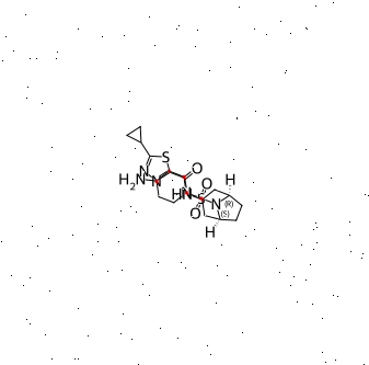 NC1CCN(S(=O)(=O)N2[C@@H]3CC[C@H]2CC(NC(=O)c2nnc(C4CC4)s2)C3)CC1